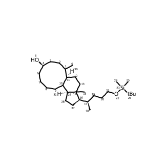 CC1CC[C@H](O)CCCCC2[C@@H]1CCC1(C)[C@@H]([C@H](C)CCCO[Si](C)(C)C(C)(C)C)CC[C@@H]21